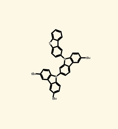 CC(C)(C)c1ccc2c(c1)c1cc(C(C)(C)C)ccc1n2-c1ccc2c3cc(C(C)(C)C)ccc3n(-c3ccc4sc5ccccc5c4c3)c2c1